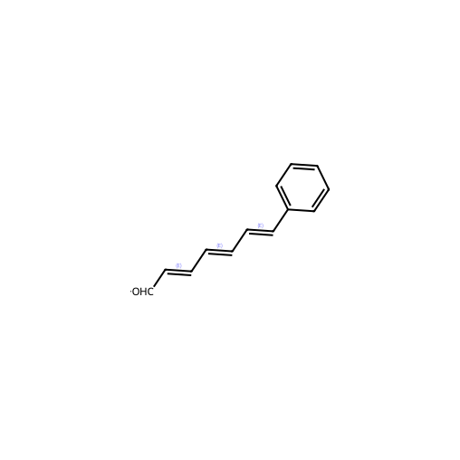 O=[C]/C=C/C=C/C=C/c1ccccc1